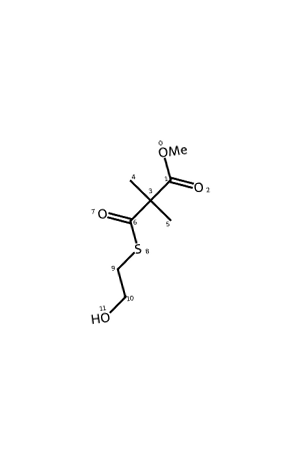 COC(=O)C(C)(C)C(=O)SCCO